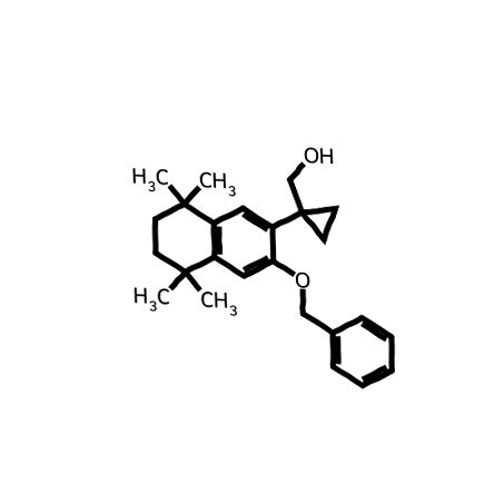 CC1(C)CCC(C)(C)c2cc(C3(CO)CC3)c(OCc3ccccc3)cc21